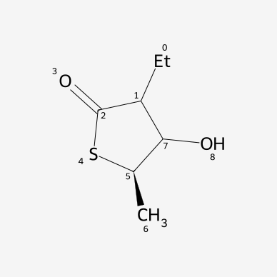 CCC1C(=O)S[C@H](C)C1O